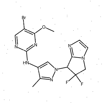 COc1nc(Nc2cn(C3c4nccn4CC3(F)F)nc2C)ncc1Br